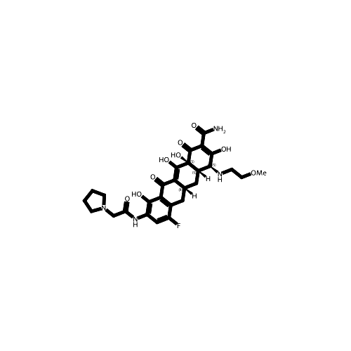 COCCN[C@@H]1C(O)=C(C(N)=O)C(=O)[C@@]2(O)C(O)=C3C(=O)c4c(O)c(NC(=O)CN5CCCC5)cc(F)c4C[C@H]3C[C@@H]12